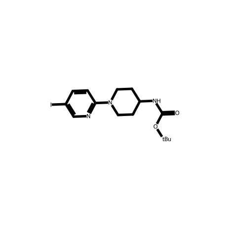 CC(C)(C)OC(=O)NC1CCN(c2ccc(I)cn2)CC1